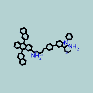 C/C=C\c1c(N)n(-c2ccccc2)c2ccc(C3=CCC(C/C=C\C=C(/N)c4ccc5c(-c6ccc7ccccc7c6)c6ccccc6c(-c6ccc7ccccc7c6)c5c4)C=C3)cc12